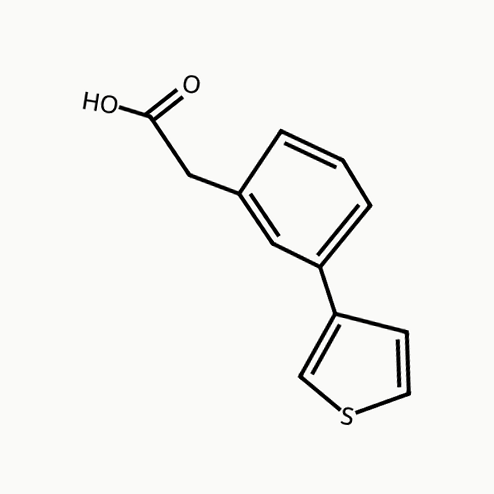 O=C(O)Cc1cccc(-c2ccsc2)c1